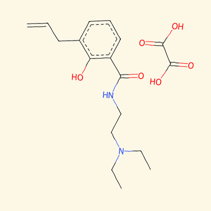 C=CCc1cccc(C(=O)NCCN(CC)CC)c1O.O=C(O)C(=O)O